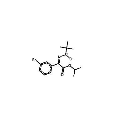 CC(C)OC(=O)C(=N[S+]([O-])C(C)(C)C)c1cccc(Br)c1